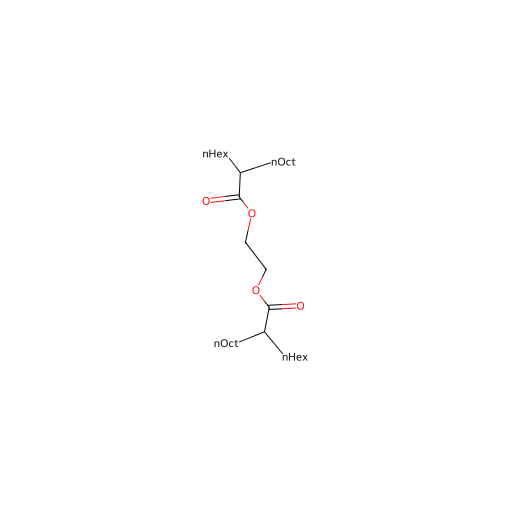 CCCCCCCCC(CCCCCC)C(=O)OCCOC(=O)C(CCCCCC)CCCCCCCC